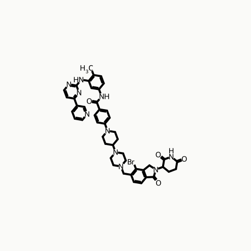 Cc1ccc(NC(=O)c2ccc(N3CCC(N4CCN(Cc5ccc6c(c5Br)CN(C5CCC(=O)NC5=O)C6=O)CC4)CC3)cc2)cc1Nc1nccc(-c2cccnc2)n1